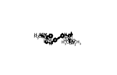 COC(=O)N[C@H](C(=O)N1CC2(CC2)C[C@H]1c1nc2ccc(C#Cc3ccc(-c4cnc([C@@H]5CCCN5C(=O)[C@@H](NC(=O)OC(C)(C)C)[C@@H](C)c5ccccc5)[nH]4)cc3)cc2[nH]1)C(C)C